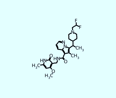 COc1cc(C)[nH]c(=O)c1CNC(=O)c1c(C)c(C(C)C2CCN(CC(F)F)CC2)n2ncccc12